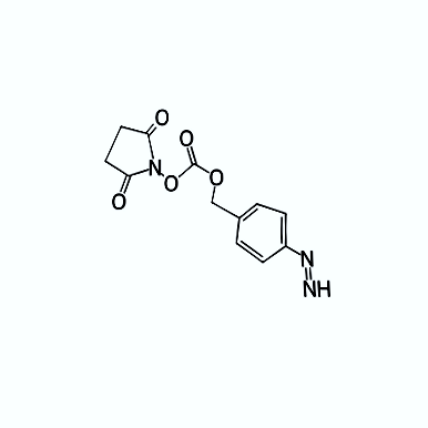 N=Nc1ccc(COC(=O)ON2C(=O)CCC2=O)cc1